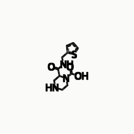 O=C(NCc1cccs1)C1CNCCN1C(=O)O